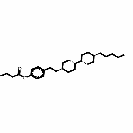 CCCCC[C@H]1CC[C@H]([C@H]2CC[C@H](CCc3ccc(OC(=O)CCC)cc3)CC2)CC1